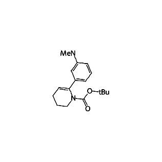 CNc1cccc(C2=CCCCN2C(=O)OC(C)(C)C)c1